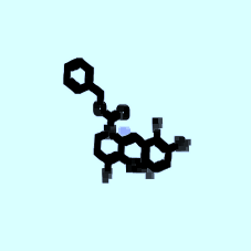 NC1=C(F)CCN(C(=O)OCc2ccccc2)/C1=C/c1cccc(Br)c1F